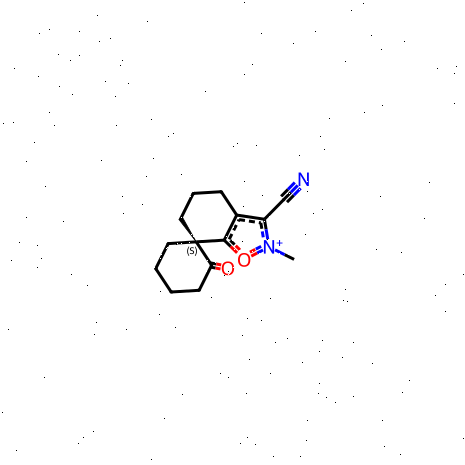 C[n+]1oc2c(c1C#N)CCC[C@@]21CCCCC1=O